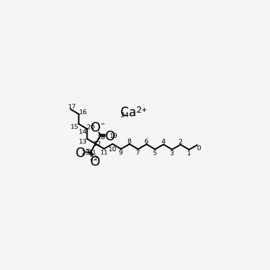 CCCCCCCCCCCCC(CCCCC)(C(=O)[O-])C(=O)[O-].[Ca+2]